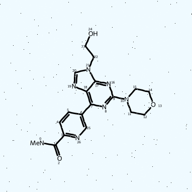 CNC(=O)c1ccc(-c2nc(N3CCOCC3)nc3c2ncn3CCO)cn1